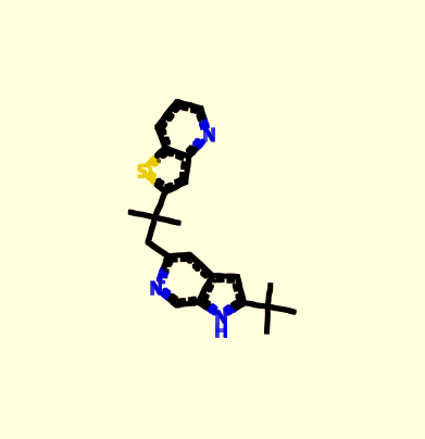 CC(C)(C)c1cc2cc(CC(C)(C)c3cc4ncccc4s3)ncc2[nH]1